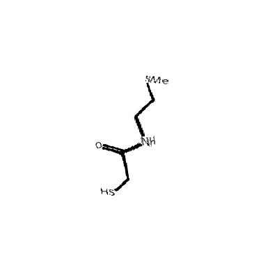 CNCCNC(=O)CS